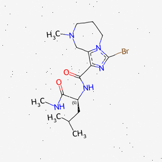 CNC(=O)[C@H](CC(C)C)NC(=O)c1nc(Br)n2c1CN(C)CCC2